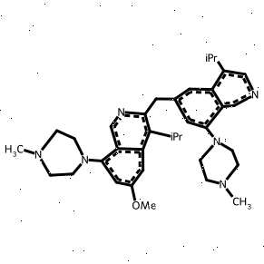 COc1cc(N2CCN(C)CC2)c2cnc(Cc3cc(N4CCN(C)CC4)c4cncc(C(C)C)c4c3)c(C(C)C)c2c1